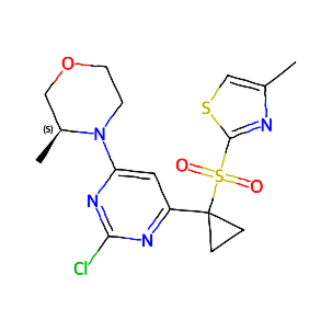 Cc1csc(S(=O)(=O)C2(c3cc(N4CCOC[C@@H]4C)nc(Cl)n3)CC2)n1